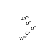 [O-2].[O-2].[O-2].[W+4].[Zn+2]